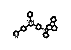 c1ccc(-c2nc(-c3ccc(-c4cccnc4)cc3)cc(-c3ccc(-n4c5ccccc5c5c6cccc7c6c(cc54)-c4ccccc4-7)cc3)n2)cc1